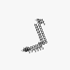 O.O.O.O.O.O.O.O.O.O.O.O.O.O.O.[PbH2].[PbH2].[PbH2].[PbH2]